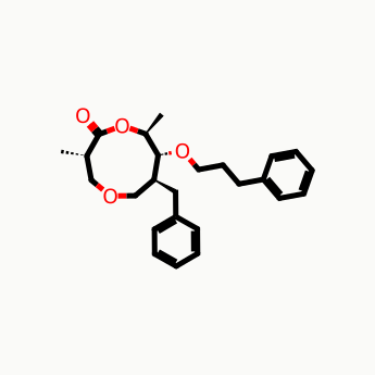 C[C@@H]1OC(=O)[C@@H](C)COC[C@H](Cc2ccccc2)[C@H]1OCCCc1ccccc1